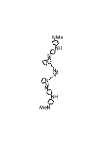 CNc1ccc(Nc2ccc(/N=N/c3cccc[n+]3CCCn3cc[n+](CCC[n+]4ccccc4/N=N/c4ccc(Nc5ccc(NC)cc5)cc4)c3)cc2)cc1